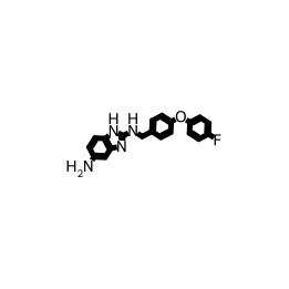 Nc1ccc2[nH]c(NCc3ccc(Oc4ccc(F)cc4)cc3)nc2c1